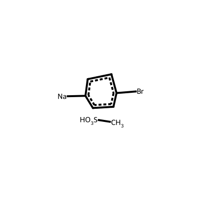 CS(=O)(=O)O.[Na][c]1ccc(Br)cc1